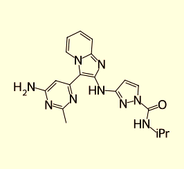 Cc1nc(N)cc(-c2c(Nc3ccn(C(=O)NC(C)C)n3)nc3ccccn23)n1